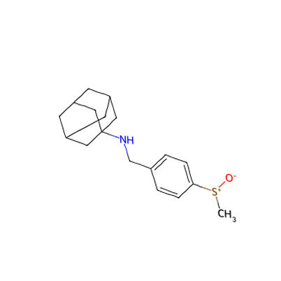 C[S+]([O-])c1ccc(CNC23CC4CC(CC(C4)C2)C3)cc1